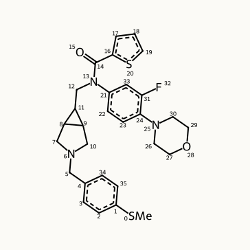 CSc1ccc(CN2CC3C(C2)C3CN(C(=O)c2cccs2)c2ccc(N3CCOCC3)c(F)c2)cc1